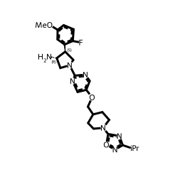 COc1ccc(F)c([C@H]2CN(c3ncc(OCC4CCN(c5nc(C(C)C)no5)CC4)cn3)C[C@@H]2N)c1